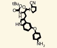 CC(C)(C)OC(=O)NC(Cc1c[nH]c2ccc(Oc3ccc(N)cc3)cc12)C(=O)N1CCCC1C#N